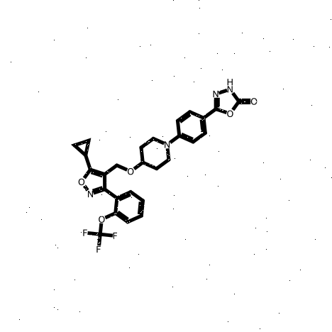 O=c1[nH]nc(-c2ccc(N3CCC(OCc4c(-c5ccccc5OC(F)(F)F)noc4C4CC4)CC3)cc2)o1